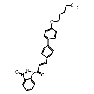 CCCCCOc1ccc(-c2ccc(C=CC(=O)n3n[n+]([O-])c4ccccc43)cc2)cc1